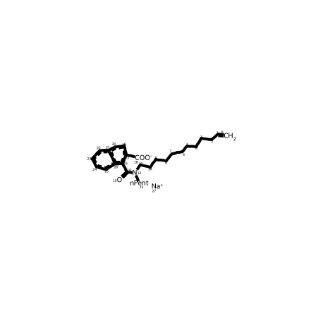 C=CCCCCCCCCCCN(CCCCC)C(=O)c1c(C(=O)[O-])ccc2ccccc12.[Na+]